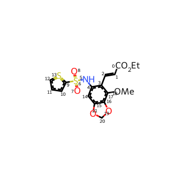 CCOC(=O)C=Cc1c(NS(=O)(=O)c2cccs2)cc2c(c1OC)OCO2